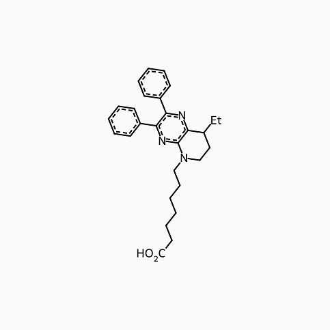 CCC1CCN(CCCCCCC(=O)O)c2nc(-c3ccccc3)c(-c3ccccc3)nc21